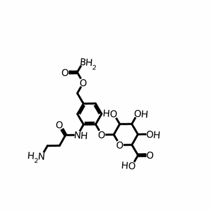 BC(=O)OCc1ccc(OC2OC(C(=O)O)C(O)C(O)C2O)c(NC(=O)CCN)c1